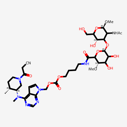 CO[C@@H]1OC(CO)[C@@H](O)C(O[C@@H]2OC(C(=O)NCCCCOC(=O)OCn3ccc4c(N(C)[C@H]5CN(C(=O)CC#N)CC[C@H]5C)ncnc43)[C@@H](OC)C(O)C2O)C1NC(C)=O